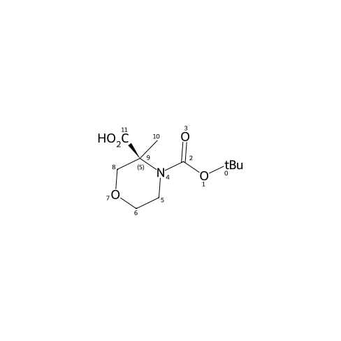 CC(C)(C)OC(=O)N1CCOC[C@@]1(C)C(=O)O